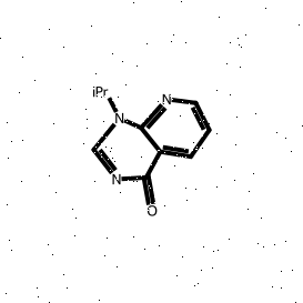 CC(C)n1cnc(=O)c2cccnc21